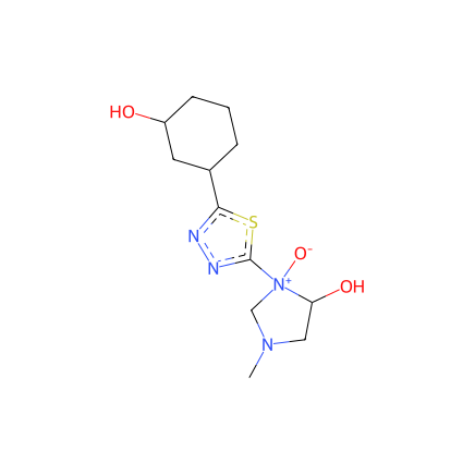 CN1CC(O)[N+]([O-])(c2nnc(C3CCCC(O)C3)s2)C1